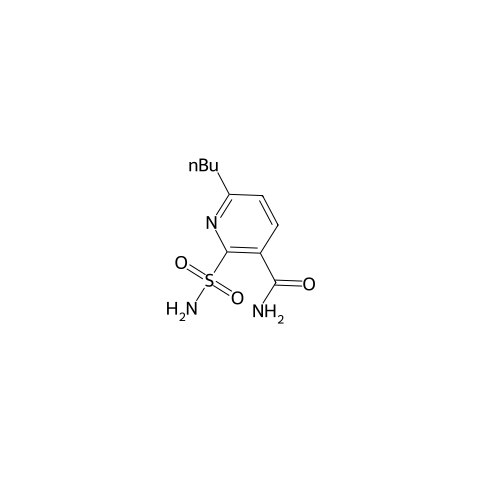 CCCCc1ccc(C(N)=O)c(S(N)(=O)=O)n1